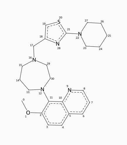 COc1ccc2cccnc2c1N1CCCN(Cc2csc(N3CCCCC3)n2)CC1